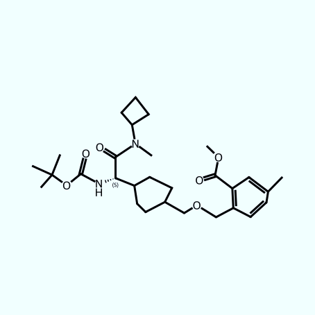 COC(=O)c1cc(C)ccc1COCC1CCC([C@H](NC(=O)OC(C)(C)C)C(=O)N(C)C2CCC2)CC1